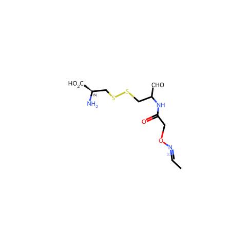 C/C=N/OCC(=O)NC(C=O)CSSC[C@@H](N)C(=O)O